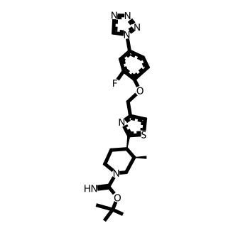 C[C@H]1CN(C(=N)OC(C)(C)C)CC[C@H]1c1nc(COc2ccc(-n3cnnn3)cc2F)cs1